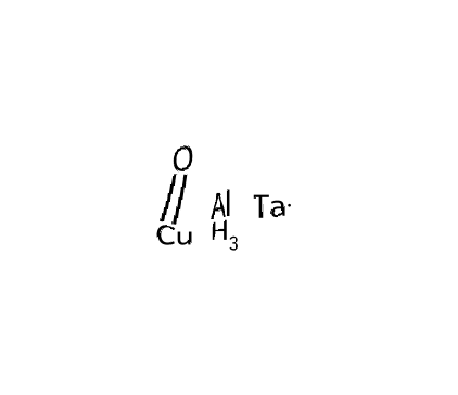 [AlH3].[O]=[Cu].[Ta]